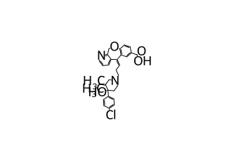 CC1(C)CN(CCC=C2c3cc(C(=O)O)ccc3OCc3ncccc32)CC[C@]1(O)c1ccc(Cl)cc1